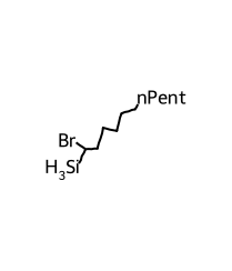 CCCCCCCCCCC([SiH3])Br